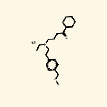 CCN(CCCC(=O)C1CCCCC1)CCc1ccc(COC)cc1.Cl